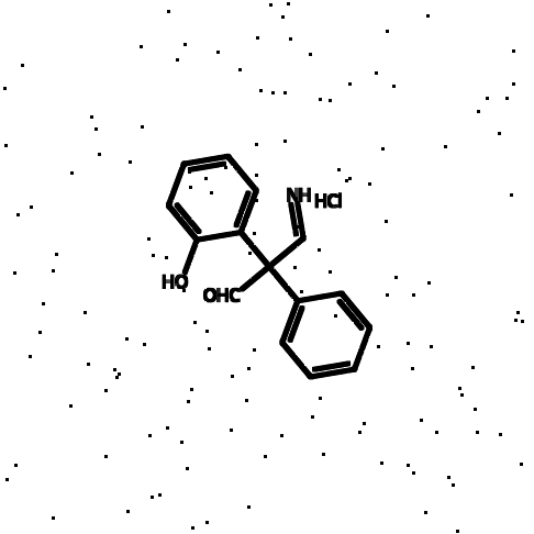 Cl.N=CC(C=O)(c1ccccc1)c1ccccc1O